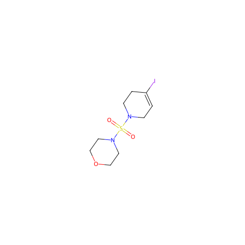 O=S(=O)(N1CC=C(I)CC1)N1CCOCC1